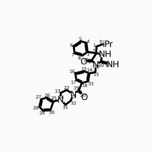 CC(C)CC1(c2ccccc2)NC(=N)N(Cc2cccc(C(=O)N3CCN(c4ccccc4)CC3)c2)C1=O